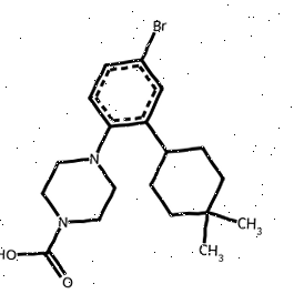 CC1(C)CCC(c2cc(Br)ccc2N2CCN(C(=O)O)CC2)CC1